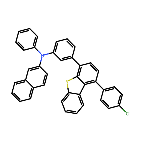 Clc1ccc(-c2ccc(-c3cccc(N(c4ccccc4)c4ccc5ccccc5c4)c3)c3sc4ccccc4c23)cc1